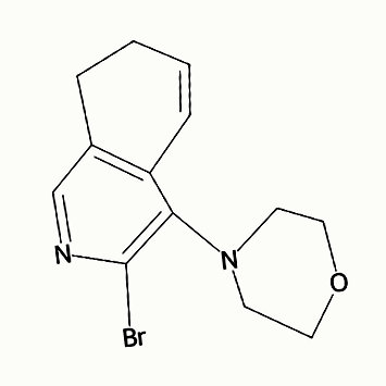 Brc1ncc2c(c1N1CCOCC1)C=CCC2